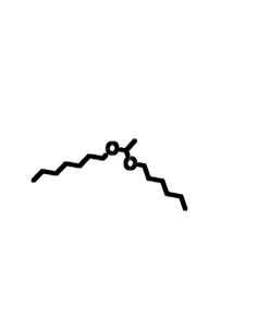 CCCCCCCOC(C)OCCCCCC